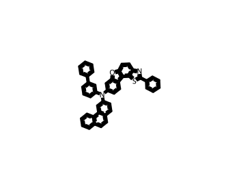 c1ccc(-c2cccc(N(c3ccc4c(c3)oc3ccc5nc(-c6ccccc6)sc5c34)c3ccc4ccc5ccccc5c4c3)c2)cc1